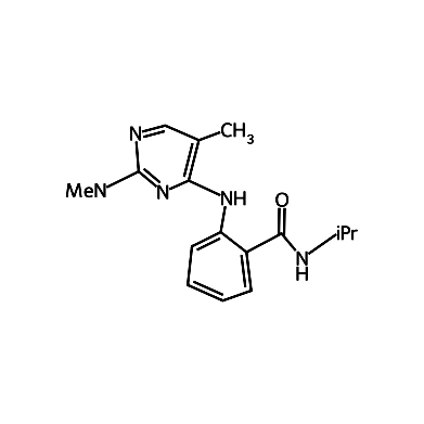 CNc1ncc(C)c(Nc2ccccc2C(=O)NC(C)C)n1